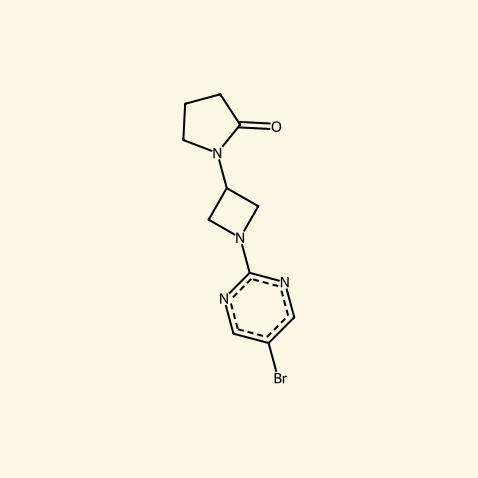 O=C1CCCN1C1CN(c2ncc(Br)cn2)C1